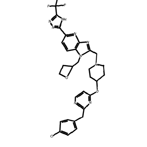 FC(F)(F)c1nnc(-c2ccc3c(n2)nc(CN2CCC(Oc4ccnc(Cc5ccc(Cl)cc5)n4)CC2)n3CC2CCO2)[nH]1